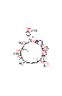 CO[C@@H]1C[C@H](C[C@@H](C)[C@@H]2CC(=O)[C@H](C)/C=C(\C)[C@@H](O)[C@@H](OC)C(=O)[C@H](C)C[C@H](C)/C=C/C=C/C=C(\C)C(OC(C)(C)CO)C[C@@H]3CC[C@@H](C)[C@@](O)(O3)C(=O)C(=O)N3CCCC[C@H]3C(=O)O2)CC[C@H]1O